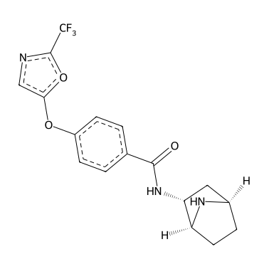 O=C(N[C@@H]1C[C@H]2CC[C@@H]1N2)c1ccc(Oc2cnc(C(F)(F)F)o2)cc1